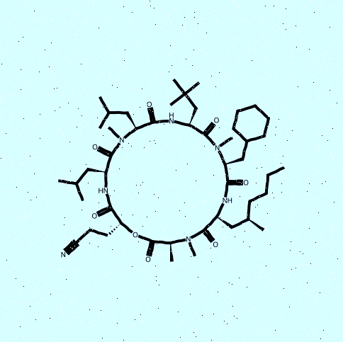 CCCC[C@@H](C)C[C@@H]1NC(=O)[C@H](CC2CCCCC2)N(C)C(=O)[C@H](CC(C)(C)C)NC(=O)[C@H](CC(C)C)N(C)C(=O)[C@H](CC(C)C)NC(=O)[C@@H](CCC#N)OC(=O)[C@H](C)N(C)C1=O